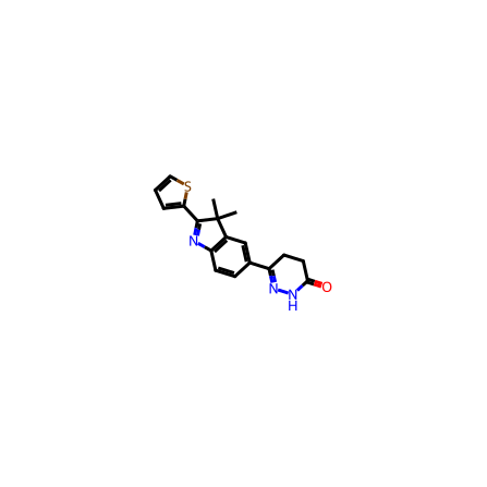 CC1(C)C(c2cccs2)=Nc2ccc(C3=NNC(=O)CC3)cc21